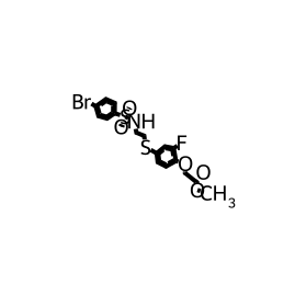 COC(=O)COc1ccc(SCCNS(=O)(=O)c2ccc(Br)cc2)cc1F